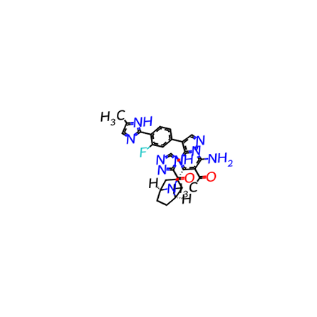 CC(=O)c1c([C@@H]2C[C@H]3CC[C@@H](C2)N3C(=O)c2nnc[nH]2)nc2c(-c3ccc(-c4ncc(C)[nH]4)c(F)c3)cnn2c1N